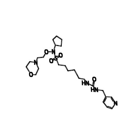 O=C(NCCCCCCS(=O)(=O)N(OCCN1CCOCC1)C1CCCC1)NCc1cccnc1